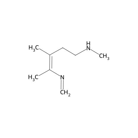 C=N/C(C)=C(/C)CCNC